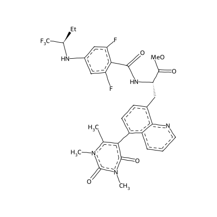 CC[C@@H](Nc1cc(F)c(C(=O)N[C@@H](Cc2ccc(-c3c(C)n(C)c(=O)n(C)c3=O)c3cccnc23)C(=O)OC)c(F)c1)C(F)(F)F